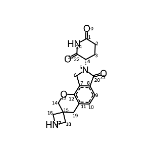 O=C1CC[C@H](N2Cc3c(ccc4c3OCC3(CNC3)C4)C2=O)C(=O)N1